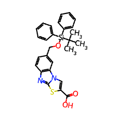 CC(C)(C)[Si](OCc1ccc2nc3sc(C(=O)O)cn3c2c1)(c1ccccc1)c1ccccc1